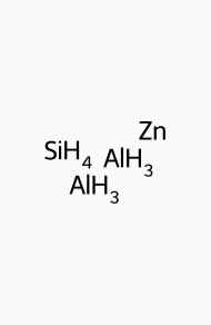 [AlH3].[AlH3].[SiH4].[Zn]